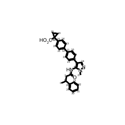 CC(CC(=O)Nc1c(-c2ccc(-c3ccc(C4(C(=O)O)CC4)cc3)cc2)cnn1C)c1ccccc1